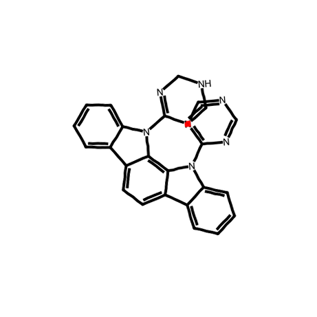 C1=NC(n2c3ccccc3c3ccc4c5ccccc5n(-c5ncncn5)c4c32)=NCN1